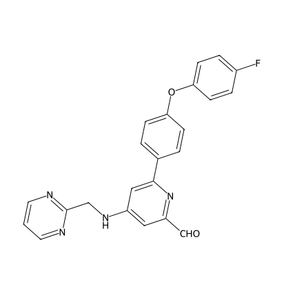 O=Cc1cc(NCc2ncccn2)cc(-c2ccc(Oc3ccc(F)cc3)cc2)n1